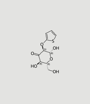 O=C1[C@@H](Oc2cccs2)[C@H](O)O[C@H](CO)[C@H]1O